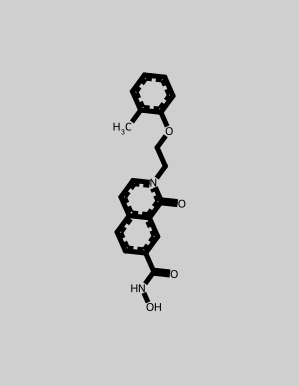 Cc1ccccc1OCCn1ccc2ccc(C(=O)NO)cc2c1=O